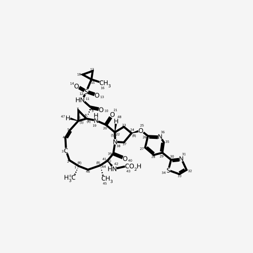 C[C@@H]1CCC=C[C@@H]2C[C@@]2(C(=O)NS(=O)(=O)C2(C)CC2)NC(=O)[C@@H]2C[C@@H](Oc3ccc(-c4nccs4)cn3)CN2C(=O)[C@@H](NC(=O)O)[C@H](C)C1